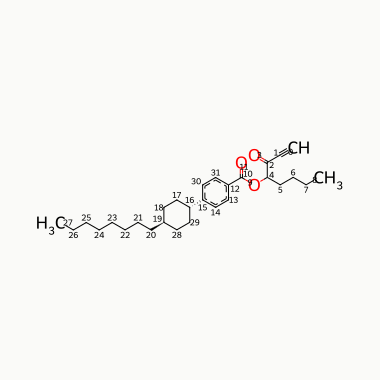 C#CC(=O)C(CCCC)OC(=O)c1ccc([C@H]2CC[C@H](CCCCCCCC)CC2)cc1